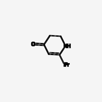 CC(C)C1=CC(=O)CCN1